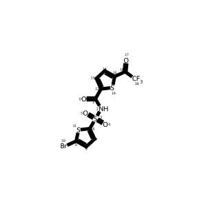 O=C(NS(=O)(=O)c1ccc(Br)s1)c1ccc(C(=O)C(F)(F)F)s1